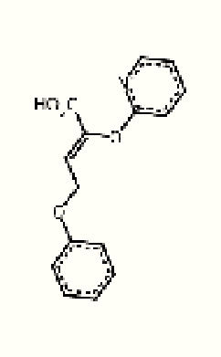 O=C(O)/C(=C/COc1ccccc1)Oc1ccccn1